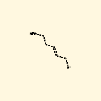 CCCCCC=CCBr